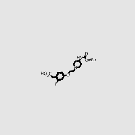 CC(C)(C)OC(=O)NC1CCN(CCOc2ccc(CC(=O)O)c(F)c2)CC1